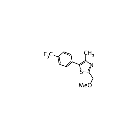 COCc1nc(C)c(-c2ccc(C(F)(F)F)cc2)s1